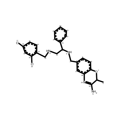 CC1Oc2ccc(CNC(CNCc3ccc(Cl)cc3Cl)c3ccccc3)cc2N=C1N